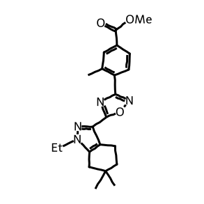 CCn1nc(-c2nc(-c3ccc(C(=O)OC)cc3C)no2)c2c1CC(C)(C)CC2